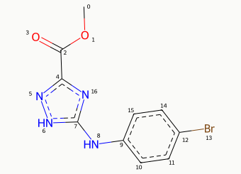 COC(=O)c1n[nH]c(Nc2ccc(Br)cc2)n1